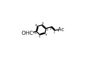 CC(=O)/C=C/c1ccc(C=O)cc1